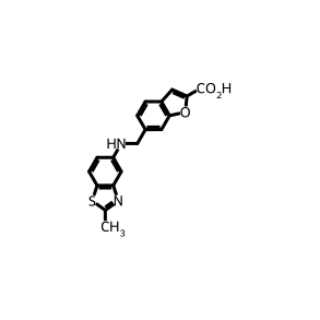 Cc1nc2cc(NCc3ccc4cc(C(=O)O)oc4c3)ccc2s1